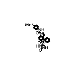 CSc1ccc(NC(=O)N2CCc3c2ccc(S(=O)(=O)C2CNC(=O)N2)c3-c2ccccc2)cc1